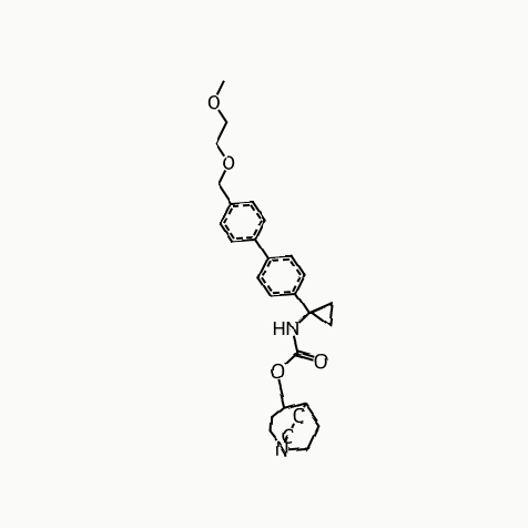 COCCOCc1ccc(-c2ccc(C3(NC(=O)OC4CCN5CCC4CC5)CC3)cc2)cc1